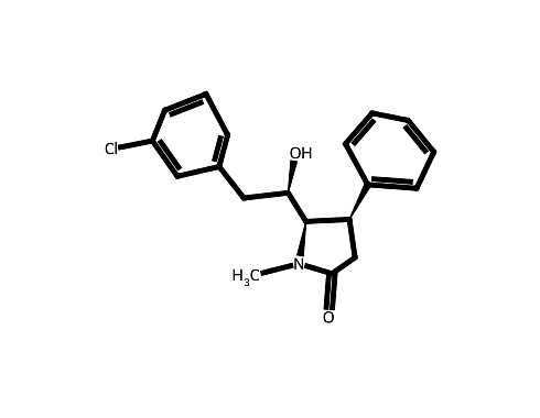 CN1C(=O)C[C@H](c2ccccc2)[C@@H]1[C@H](O)Cc1cccc(Cl)c1